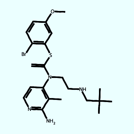 C=C(Sc1cc(OC)ccc1Br)N(CCNCC(C)(C)C)c1ccnc(N)c1C